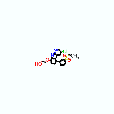 CCS(=O)(=O)c1cccc(-c2ccc(OCCO)c3c2C2=CC(Cl)C=NC2=N3)c1